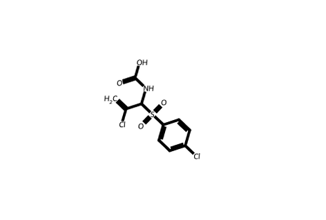 C=C(Cl)C(NC(=O)O)S(=O)(=O)c1ccc(Cl)cc1